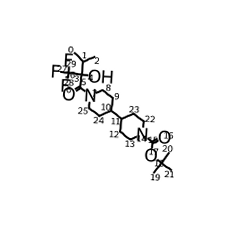 CC(C)C(O)(C(=O)N1CCC(C2CCN(C(=O)OC(C)(C)C)CC2)CC1)C(F)(F)F